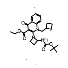 CCOC(=O)c1c(N2CCC2NC(=O)OC(C)(C)C)n(CC2CCC2)c2ccccc2c1=O